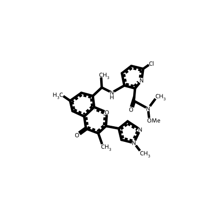 CON(C)C(=O)c1nc(Cl)ccc1NC(C)c1cc(C)cc2c(=O)c(C)c(-c3cnn(C)c3)oc12